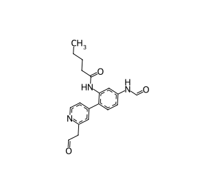 CCCCC(=O)Nc1cc(NC=O)ccc1-c1ccnc(CC=O)c1